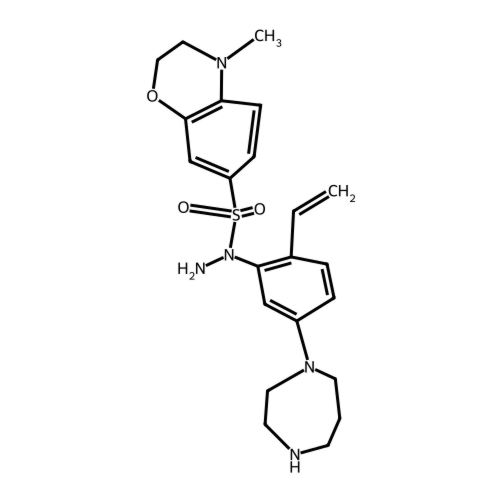 C=Cc1ccc(N2CCCNCC2)cc1N(N)S(=O)(=O)c1ccc2c(c1)OCCN2C